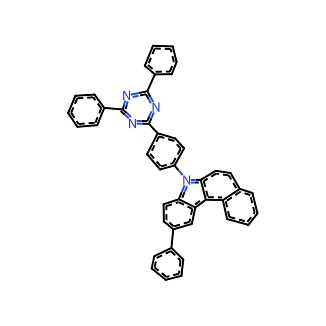 c1ccc(-c2ccc3c(c2)c2c4ccccc4ccc2n3-c2ccc(-c3nc(-c4ccccc4)nc(-c4ccccc4)n3)cc2)cc1